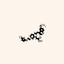 COc1ccc2nccc(CCC[C@@H]3CCN(CCSc4ccc(Cl)s4)C[C@@H]3CCC(=O)O)c2c1